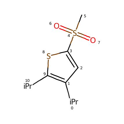 CC(C)c1cc(S(C)(=O)=O)sc1C(C)C